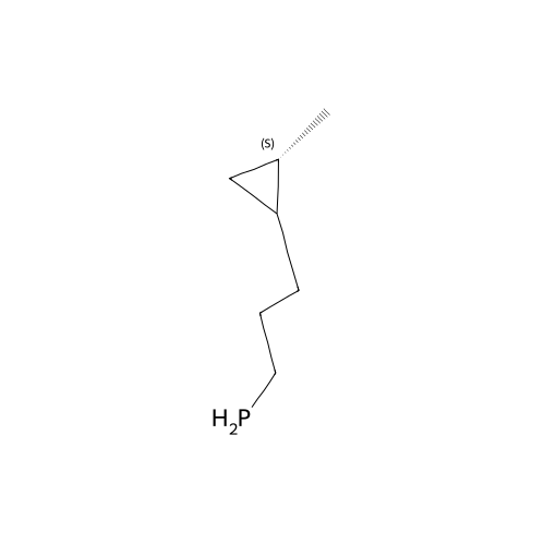 C[C@H]1CC1CCCP